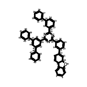 C1=CC2c3ccccc3OC2C=C1c1cccc(-c2nc(-c3cccc(-c4ccccc4)c3)nc(-c3cc(-c4ccccc4)cc(-c4ccccc4)c3)n2)c1